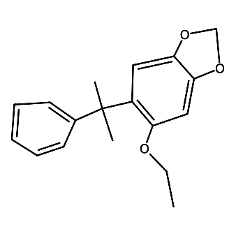 CCOc1cc2c(cc1C(C)(C)c1ccccc1)OCO2